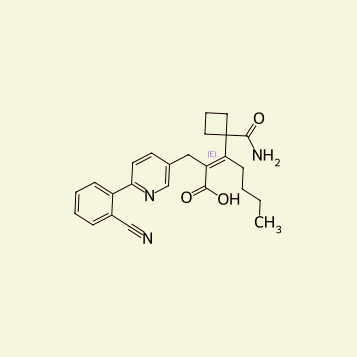 CCCC/C(=C(/Cc1ccc(-c2ccccc2C#N)nc1)C(=O)O)C1(C(N)=O)CCC1